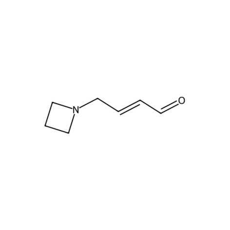 O=CC=CCN1CCC1